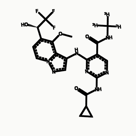 [2H]C([2H])([2H])NC(=O)c1cnc(NC(=O)C2CC2)nc1Nc1cnn2ccc([C@H](O)C(F)(F)F)c(OC)c12